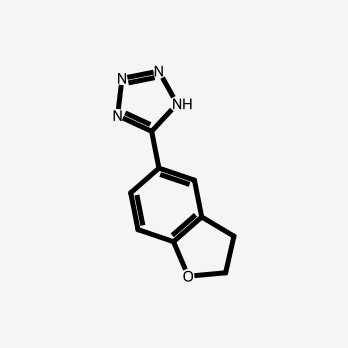 c1cc2c(cc1-c1nnn[nH]1)CCO2